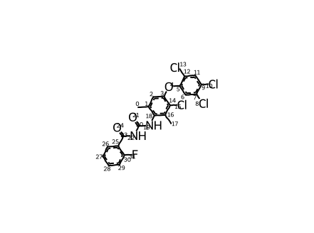 Cc1cc(Oc2cc(Cl)c(Cl)cc2Cl)c(Cl)c(C)c1NC(=O)NC(=O)c1ccccc1F